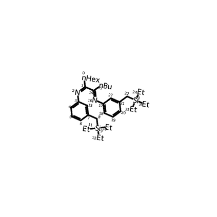 CCCCCCC(=Nc1cccc(C[Si](CC)(CC)CC)c1)C(CCCC)=Nc1cccc(C[Si](CC)(CC)CC)c1